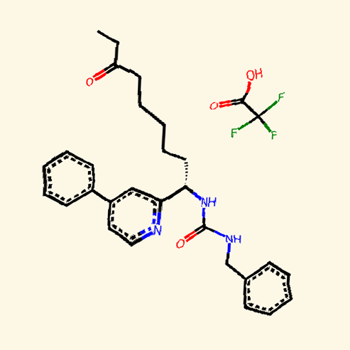 CCC(=O)CCCCC[C@H](NC(=O)NCc1ccccc1)c1cc(-c2ccccc2)ccn1.O=C(O)C(F)(F)F